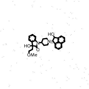 COCCC1(O)C(=O)N(C2CCN([C@H]3c4cccc5cccc(c45)C3O)CC2)c2ccccc21